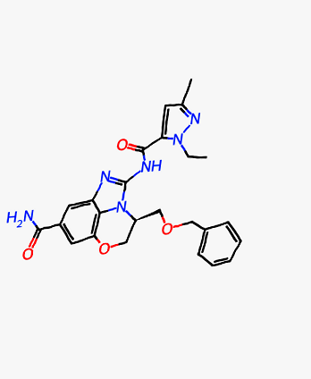 CCn1nc(C)cc1C(=O)Nc1nc2cc(C(N)=O)cc3c2n1[C@@H](COCc1ccccc1)CO3